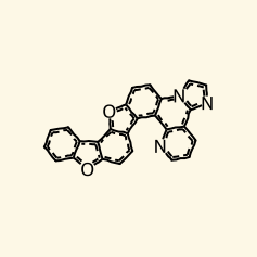 c1ccc2c(c1)oc1ccc3c(oc4ccc5c(c6ncccc6c6nccn56)c43)c12